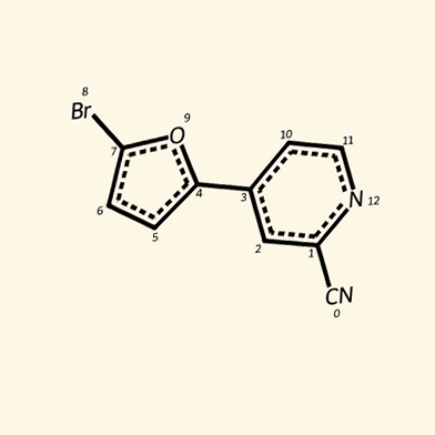 N#Cc1cc(-c2ccc(Br)o2)ccn1